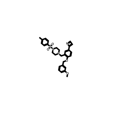 COc1cccc(COc2ccc(C3=CC=N3)cc2CN2CCN(S(=O)(=O)c3ccc(C)cc3)CC2)c1